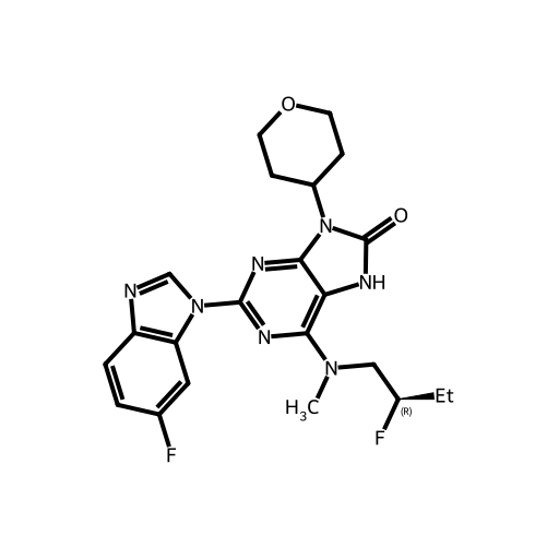 CC[C@@H](F)CN(C)c1nc(-n2cnc3ccc(F)cc32)nc2c1[nH]c(=O)n2C1CCOCC1